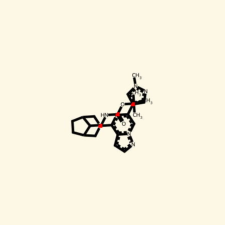 Cn1cc(-c2cn3nccc3c(N3CC4CCC(C3)C4CNC(=O)OC(C)(C)C)n2)cn1